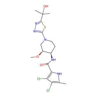 CO[C@H]1CN(c2nnc(C(C)(C)O)s2)CC[C@H]1NC(=O)c1[nH]c(C)c(Cl)c1Cl